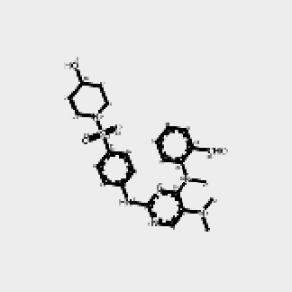 CN(C)c1cnc(Nc2ccc(S(=O)(=O)N3CCC(O)CC3)cc2)nc1N(C)c1ccccc1C=O